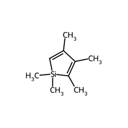 CC1=C[Si](C)(C)C(C)=C1C